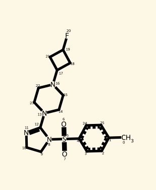 Cc1ccc(S(=O)(=O)N2CCN=C2N2CCN(C3CC(F)C3)CC2)cc1